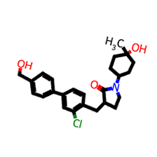 CC1(O)CCC(N2CCC(Cc3ccc(-c4ccc(CO)cc4)cc3Cl)C2=O)CC1